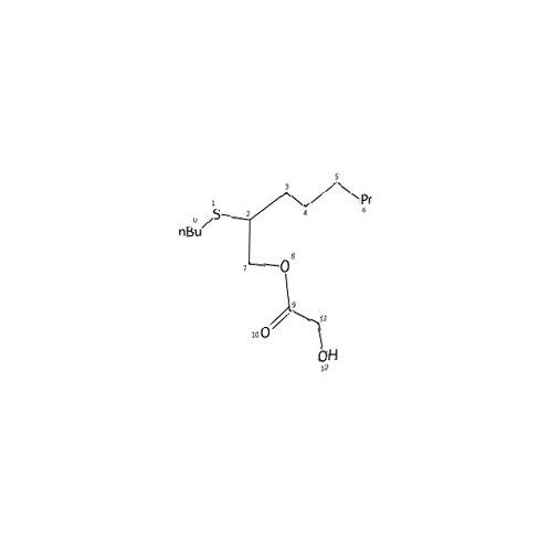 CCCCSC(CCCC(C)C)COC(=O)CO